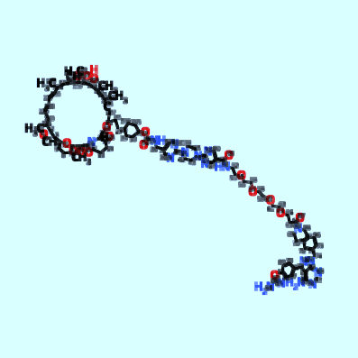 CO[C@H]1CC2CC[C@@H](C)[C@@](O)(O2)C(=O)C(=O)N2CCCC[C@H]2C(=O)O[C@H](CC[C@H]2CC[C@H](OC(=O)NCc3cnc(N4CCN(c5ncc(C(=O)NCCOCCOCCOCCOCCC(=O)N6CCc7cc(Cn8nc(-c9ccc%10oc(N)nc%10c9)c9c(N)ncnc98)ccc7C6)cn5)CC4)nc3)CC2)CC[C@H](C)/C=C(\C)[C@@H](O)[C@@H](OC)C(=O)[C@H](C)C[C@H](C)/C=C/C=C/C=C/1C